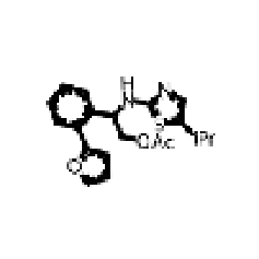 CC(=O)OCC(Nc1ncc(C(C)C)s1)c1ccccc1-c1ccco1